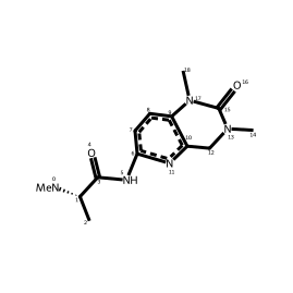 CN[C@@H](C)C(=O)Nc1ccc2c(n1)CN(C)C(=O)N2C